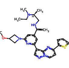 C=C(NC[C@H](C)N(C)CC)c1cc(-c2cnn3ccc(-c4cccs4)nc23)nc(N2CC(OC)C2)c1